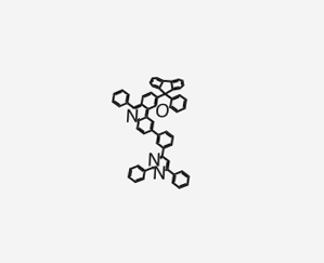 c1ccc(-c2cc(-c3cccc(-c4ccc5nc(-c6ccccc6)c6ccc7c(c6c5c4)Oc4ccccc4C74c5ccccc5-c5ccccc54)c3)nc(-c3ccccc3)n2)cc1